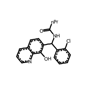 CCCC(=O)NC(c1ccccc1Cl)c1ccc2cccnc2c1O